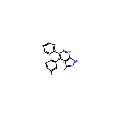 Nc1n[nH]c2nnc(-c3ccccc3)c(-c3cccc(F)c3)c12